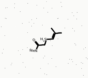 CNC(=O)C[SiH2]C=C(C)C